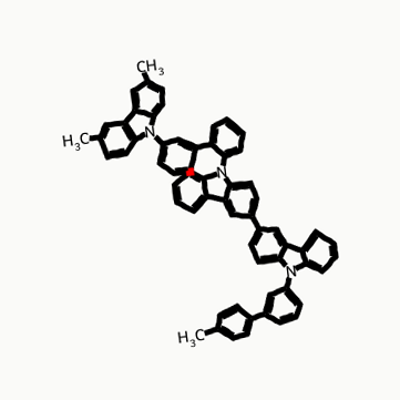 Cc1ccc(-c2cccc(-n3c4ccccc4c4cc(-c5ccc6c(c5)c5ccccc5n6-c5ccccc5-c5cccc(-n6c7ccc(C)cc7c7cc(C)ccc76)c5)ccc43)c2)cc1